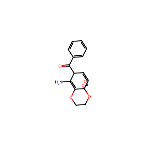 NC1=C2OCCOC23OCOC3=CC1C(=O)c1ccccc1